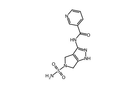 NS(=O)(=O)N1Cc2[nH]nc(NC(=O)c3cccnc3)c2C1